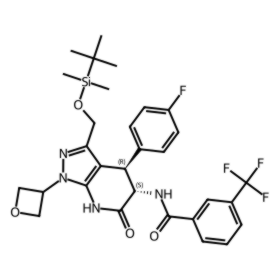 CC(C)(C)[Si](C)(C)OCc1nn(C2COC2)c2c1[C@@H](c1ccc(F)cc1)[C@H](NC(=O)c1cccc(C(F)(F)F)c1)C(=O)N2